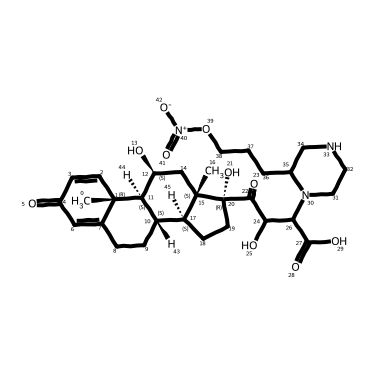 C[C@]12C=CC(=O)C=C1CC[C@@H]1[C@@H]2[C@@H](O)C[C@@]2(C)[C@H]1CC[C@]2(O)C(=O)C(O)C(C(=O)O)N1CCNCC1CCCO[N+](=O)[O-]